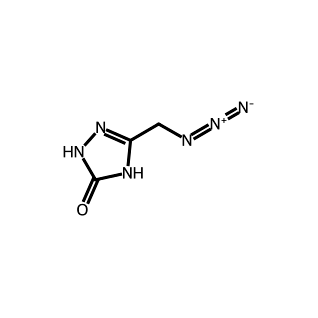 [N-]=[N+]=NCc1n[nH]c(=O)[nH]1